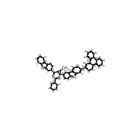 CC1C2C(c3ccc4c(c3)oc3ccccc34)=NC(c3ccccc3)=NC12c1ccc2oc3cc(-c4ccc5c6ccccc6c6ccccc6c5c4)ccc3c2c1